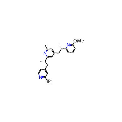 COc1cccc([C@@H](C)Cc2cc(C)nc([C@@H](C)Cc3ccnc(C(C)C)c3)c2)n1